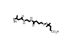 CC(C)SC(C)CC(=O)NCCNC(=O)CCCSSC(C)(C)CCC(=O)O